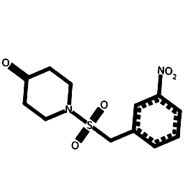 O=C1CCN(S(=O)(=O)Cc2cccc([N+](=O)[O-])c2)CC1